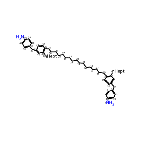 CCCCCCCc1cc(Cc2ccc(N)cc2)ccc1CCCCCCCCCCCCCCCCCc1ccc(Cc2ccc(N)cc2)cc1CCCCCCC